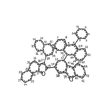 c1ccc(-c2c3ccccc3c(-c3cc(-c4oc5c(ccc6ccccc65)c4-c4cccc5ccccc45)cc4oc5ccccc5c34)c3ccccc23)cc1